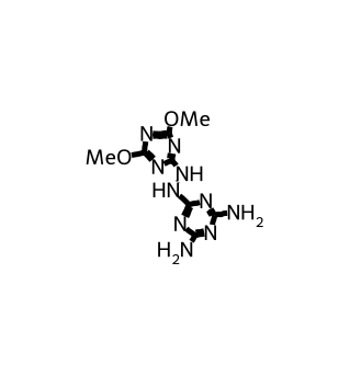 COc1nc(NNc2nc(N)nc(N)n2)nc(OC)n1